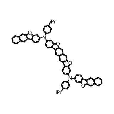 CC(C)c1ccc(N(c2ccc3c(c2)oc2cc4ccccc4cc23)c2ccc3c(c2)oc2cc4cc5oc6cc(N(c7ccc(C(C)C)cc7)c7ccc8c(c7)oc7cc9ccccc9cc78)ccc6c5cc4cc23)cc1